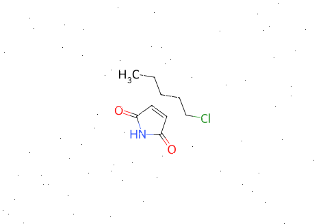 CCCCCCl.O=C1C=CC(=O)N1